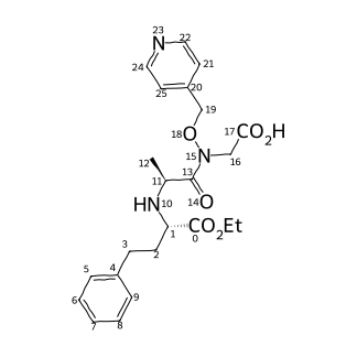 CCOC(=O)[C@H](CCc1ccccc1)N[C@@H](C)C(=O)N(CC(=O)O)OCc1ccncc1